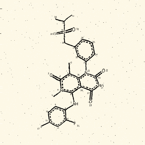 Cc1c(=O)n(C)c(Nc2ccc(I)cc2F)c2c(=O)[nH]c(=O)n(-c3cccc(CS(=O)(=O)C(C)C)c3)c12